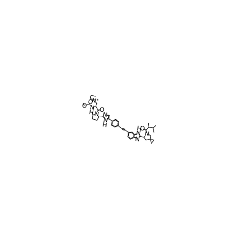 [C-]#[N+]C[C@H](NC(=O)OC)C(=O)N1CCC[C@H]1c1ncc(-c2ccc(C#Cc3ccc4nc([C@@H]5CC6(CC6)CN5C(=O)[C@@H](C)C(C)C)[nH]c4c3)cc2)[nH]1